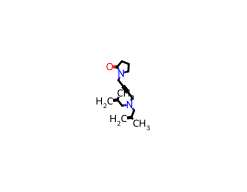 C=C(C)CN(CC#CCN1CCCC1=O)CC(=C)C